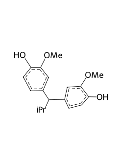 COc1cc(C(c2ccc(O)c(OC)c2)C(C)C)ccc1O